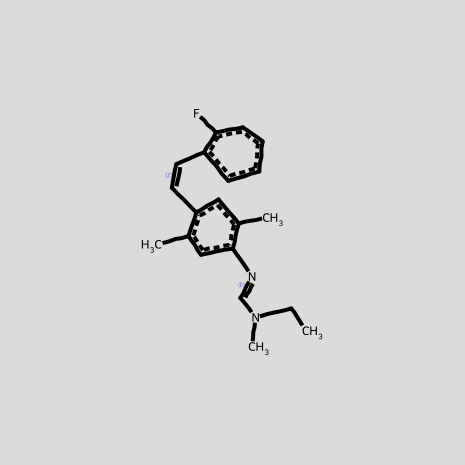 CCN(C)/C=N/c1cc(C)c(/C=C\c2ccccc2F)cc1C